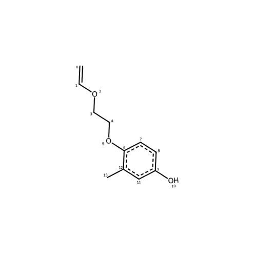 C=COCCOc1ccc(O)cc1C